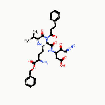 CC(C)[C@H](N)C(=O)N(C(=O)CCc1ccccc1)[C@@H](CCCC(N)C(=O)OCc1ccccc1)C(=O)NC(CC(=O)O)C(=O)C=[N+]=[N-]